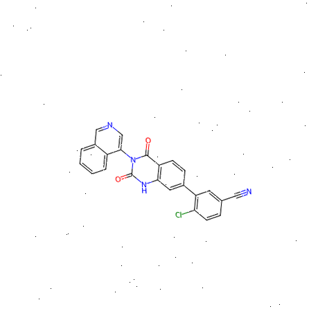 N#Cc1ccc(Cl)c(-c2ccc3c(=O)n(-c4cncc5ccccc45)c(=O)[nH]c3c2)c1